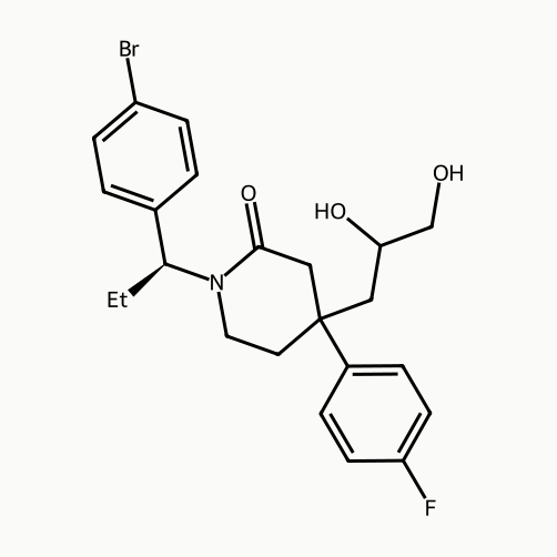 CC[C@@H](c1ccc(Br)cc1)N1CCC(CC(O)CO)(c2ccc(F)cc2)CC1=O